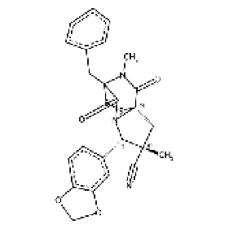 CN1C(=O)[C@@]23C[C@](C)(C#N)[C@H](c4ccc5c(c4)OCO5)N2C(=O)C1(Cc1ccccc1)SS3